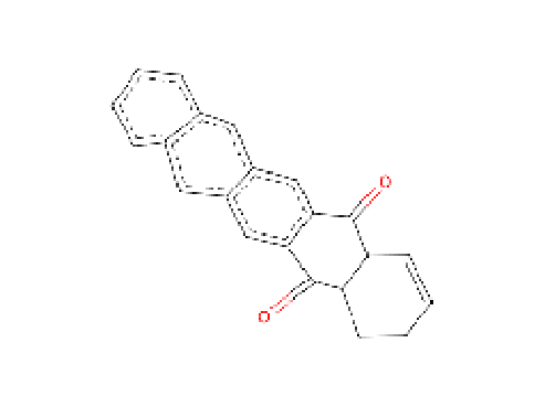 O=C1c2cc3cc4ccccc4cc3cc2C(=O)C2CCC=CC12